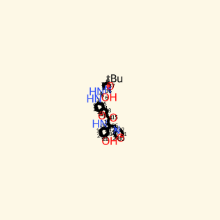 CC(C)(C)c1cc(NC(O)Nc2ccc3oc(C(=O)c4[nH]c5ccc(O)cc5c4CN4CCOCC4)cc3c2)no1